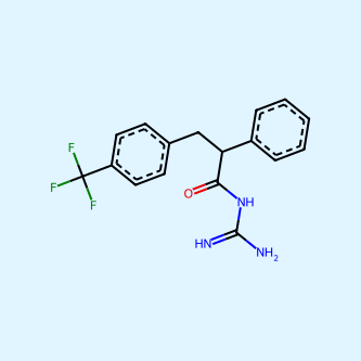 N=C(N)NC(=O)C(Cc1ccc(C(F)(F)F)cc1)c1ccccc1